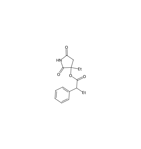 CCC(C(=O)OC1(CC)CC(=O)NC1=O)c1ccccc1